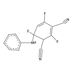 N#CC1=C(F)C(C#N)C(F)(Nc2ccccc2)C=C1F